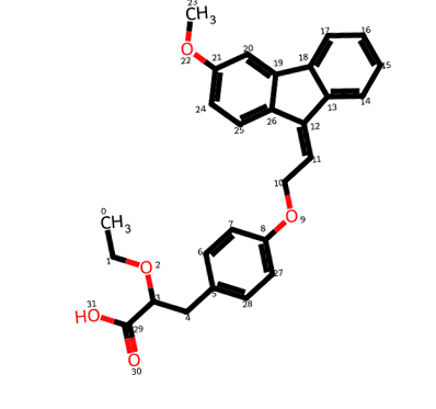 CCOC(Cc1ccc(OCC=C2c3ccccc3-c3cc(OC)ccc32)cc1)C(=O)O